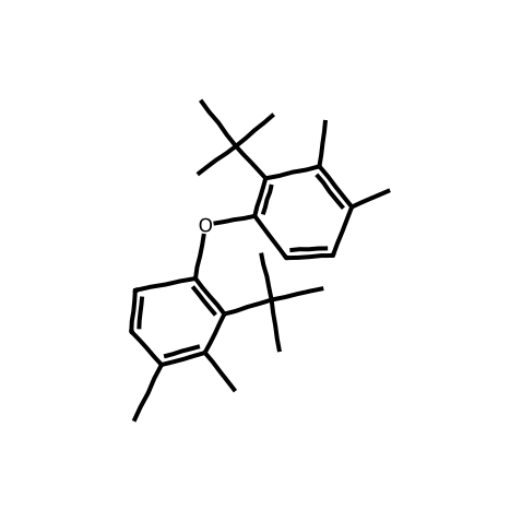 Cc1ccc(Oc2ccc(C)c(C)c2C(C)(C)C)c(C(C)(C)C)c1C